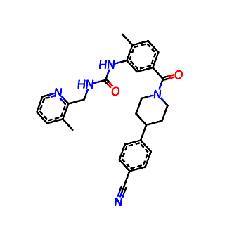 Cc1ccc(C(=O)N2CCC(c3ccc(C#N)cc3)CC2)cc1NC(=O)NCc1ncccc1C